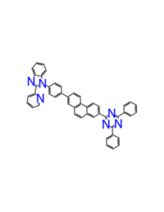 c1ccc(-c2nc(-c3ccccc3)nc(-c3ccc4c(ccc5cc(-c6ccc(-n7c(-c8ccccn8)nc8ccccc87)cc6)ccc54)c3)n2)cc1